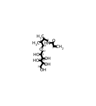 C=CC(=O)NCC(C)C(C)COCC(O)C(O)C(O)C(O)CO